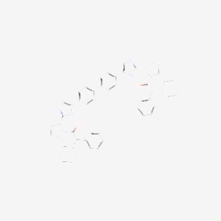 O=C([C@@H](c1ccccc1)N1CCCCC1)N1C[C@@H](F)C[C@H]1c1ncc(-c2ccc(-c3ccc(-c4cnc([C@@H]5C[C@H](F)CN5C(=O)[C@@H](c5ccccc5)N5CCCCC5)[nH]4)cc3)cc2)[nH]1